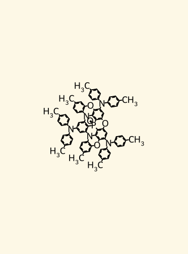 Cc1ccc(N(c2ccc(C)cc2)c2cc3c4c(c2)N2c5ccc(C)cc5Oc5c(N(c6ccc(C)cc6)c6ccc(C)cc6)cc6c(c52)P4(=O)c2c(cc(N(c4ccc(C)cc4)c4ccc(C)cc4)c4c2N3c2ccc(C)cc2O4)O6)cc1